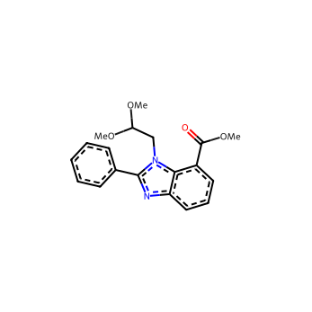 COC(=O)c1cccc2nc(-c3ccccc3)n(CC(OC)OC)c12